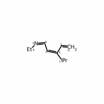 C=C/C(=C\C=N/CC)C(C)C